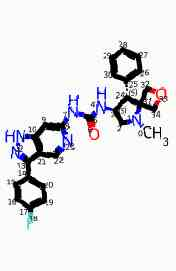 CN1C[C@@H](NC(=O)Nc2cc3[nH]nc(-c4ccc(F)cc4)c3cn2)[C@H](c2ccccc2)C12COC2